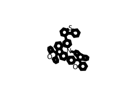 c1ccc2c(c1)Oc1ccccc1C21c2ccccc2-c2ccc(N(c3ccc(-c4cccc5sc6ccccc6c45)cc3)c3cccc4c3-c3ccccc3C43c4ccccc4Oc4ccccc43)cc21